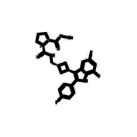 CC(C)(C)OC(=O)N1CCC[C@@H]1C(=O)NC[C@H]1C[C@H](c2c(-c3ccc(F)cc3)[nH]c3c(F)cc(F)cc32)C1